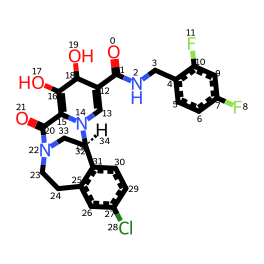 O=C(NCc1ccc(F)cc1F)C1=CN2C(=C(O)C1O)C(=O)N1CCc3cc(Cl)ccc3[C@H]2C1